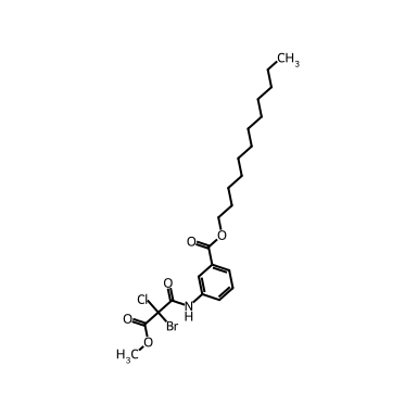 CCCCCCCCCCCCOC(=O)c1cccc(NC(=O)C(Cl)(Br)C(=O)OC)c1